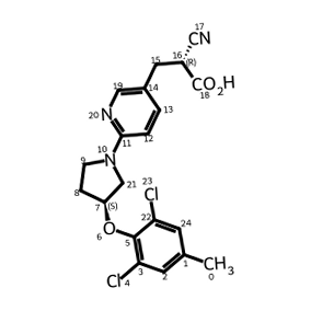 Cc1cc(Cl)c(O[C@H]2CCN(c3ccc(C[C@H](C#N)C(=O)O)cn3)C2)c(Cl)c1